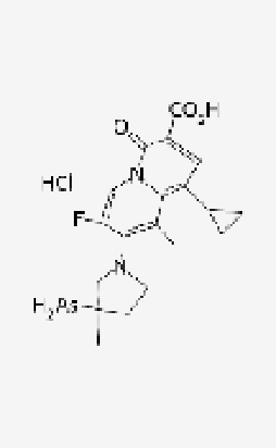 Cc1c(N2CCC(C)([AsH2])C2)c(F)cn2c(=O)c(C(=O)O)cc(C3CC3)c12.Cl